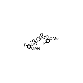 COc1ccc(F)cc1O[C@@H](C)OC(=O)N1CCN(C(=O)O[C@H](C)Oc2cc(F)ccc2OC)CC1